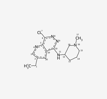 CCc1cnc2c(Cl)nnc(NC3CCCN(C)C3)c2c1